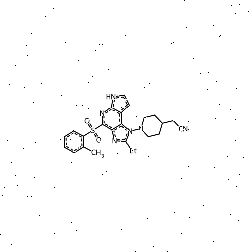 CCc1nc2c(S(=O)(=O)c3ccccc3C)nc3[nH]ccc3c2n1N1CCC(CC#N)CC1